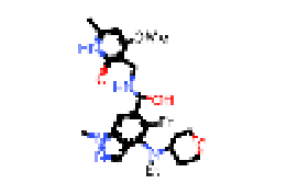 CCc1c(C(O)NCc2c(OC)cc(C)[nH]c2=O)cc2c(cnn2C)c1N(CC)C1CCOCC1